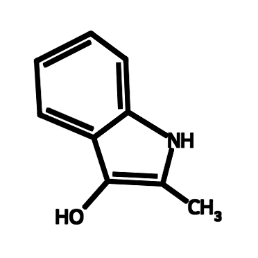 Cc1[nH]c2ccccc2c1O